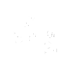 Cc1ccc([C@@H]2CC(C)(N3CCOCC3)C[C@H]2C(=O)N2CCC(c3cc(C)nn3-c3ccc(F)c(Cl)c3)CC2)c(F)c1